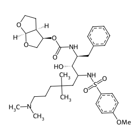 COc1ccc(S(=O)(=O)NC(CC(C)(C)CCCN(C)C)[C@H](O)[C@H](Cc2ccccc2)NC(=O)O[C@H]2CO[C@H]3OCC[C@H]32)cc1